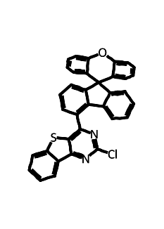 Clc1nc(-c2cccc3c2-c2ccccc2C32c3ccccc3Oc3ccccc32)c2sc3ccccc3c2n1